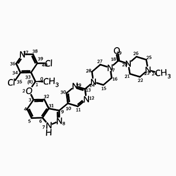 C[C@@H](Oc1ccc2[nH]nc(-c3cnc(N4CCN(C(=O)N5CCN(C)CC5)CC4)nc3)c2c1)c1c(Cl)cncc1Cl